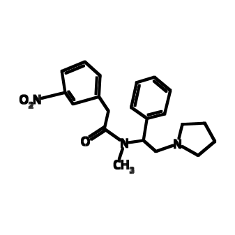 CN(C(=O)Cc1cccc([N+](=O)[O-])c1)C(CN1CCCC1)c1ccccc1